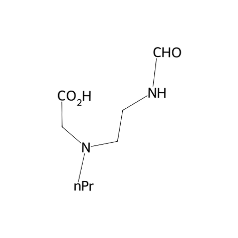 CCCN(CCNC=O)CC(=O)O